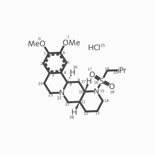 COc1cc2c(cc1OC)[C@H]1C[C@H]3[C@H](CCCN3S(=O)(=O)CC(C)C)CN1CC2.Cl